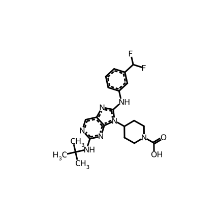 CC(C)(C)Nc1ncc2nc(Nc3cccc(C(F)F)c3)n(C3CCN(C(=O)O)CC3)c2n1